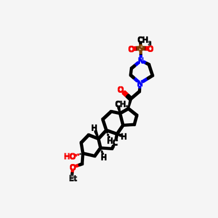 CCOC[C@@]1(O)CC[C@H]2[C@@H](CC[C@H]3C4CC[C@H](C(=O)CN5CCN(S(C)(=O)=O)CC5)[C@@]4(C)CC[C@H]23)C1